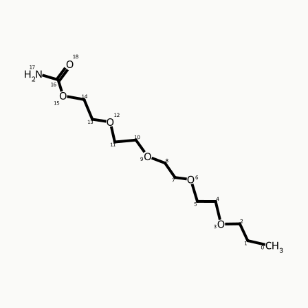 CCCOCCOCCOCCOCCOC(N)=O